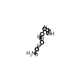 NC(=O)c1ccc(OCC2CCCC(CS(=O)(=O)C3CCC(c4ccnc5cnc6[nH]ccc6c45)CC3)C2)cc1